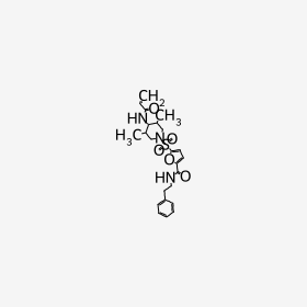 C=CC(=O)NC1C(C)CN(S(=O)(=O)c2ccc(C(=O)NCCc3ccccc3)o2)CC1C